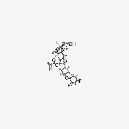 CNC(=O)Oc1c(-c2ccc(Oc3ccc(F)cc3F)cc2)oc2cc(N(CCO)S(C)(=O)=O)c(OC)cc12